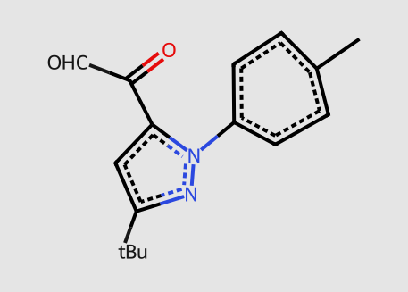 Cc1ccc(-n2nc(C(C)(C)C)cc2C(=O)C=O)cc1